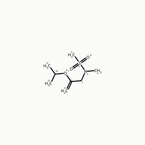 C=C(CN(C)S(C)(=O)=O)OC(C)C